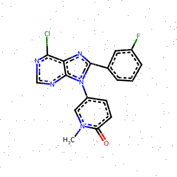 Cn1cc(-n2c(-c3cccc(F)c3)nc3c(Cl)ncnc32)ccc1=O